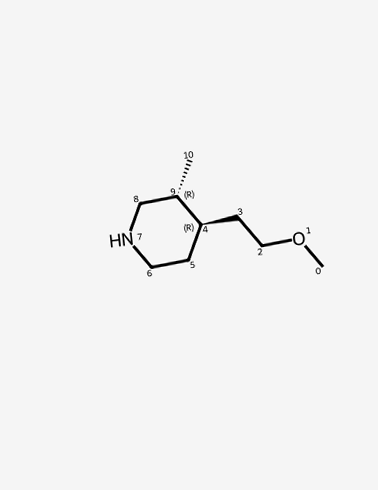 COCC[C@H]1CCNC[C@@H]1C